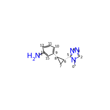 Cn1cnnc1[C@@H]1C[C@@H]1c1cccc(N)c1